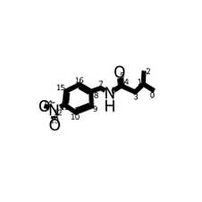 CC(C)CC(=O)NCc1ccc([N+](=O)[O-])cc1